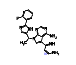 CC(c1cnc(-c2ccccc2F)[nH]1)n1cc(C(=N)/C=C\N)c2c(N)ncnc21